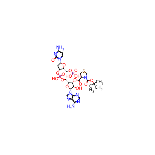 CC(C)(C)OC(=O)N1CSCC1C(=O)O[C@H]1[C@@H](O)[C@H](n2cnc3c(N)ncnc32)O[C@@H]1COP(=O)(O)O[C@H]1C[C@H](n2ccc(N)nc2=O)O[C@@H]1COP(=O)(O)O